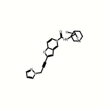 O=C(N[C@H]1CN2CCC1CC2)N1C=CC2OC(C#CCn3cccn3)=CC2=C1